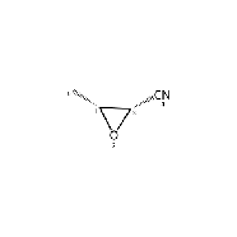 C[C@H]1O[C@H]1C#N